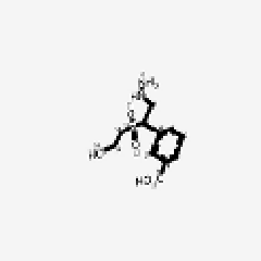 NNCC(c1cccc(C(=O)O)c1)S(=O)(=O)CCO